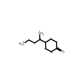 CCCC(C)C1CCC(=O)CC1